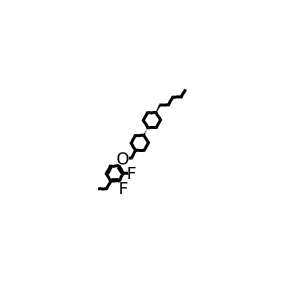 CCCCC[C@H]1CC[C@H](C2CCC(COc3ccc(CC)c(F)c3F)CC2)CC1